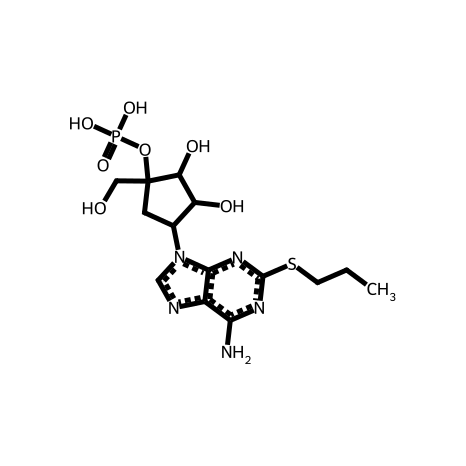 CCCSc1nc(N)c2ncn(C3CC(CO)(OP(=O)(O)O)C(O)C3O)c2n1